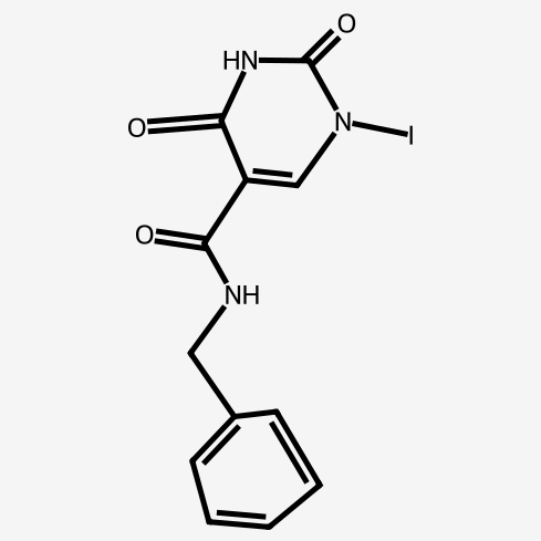 O=C(NCc1ccccc1)c1cn(I)c(=O)[nH]c1=O